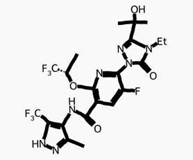 CCn1c(C(C)(C)O)nn(-c2nc(O[C@@H](C)C(F)(F)F)c(C(=O)Nc3c(C)n[nH]c3C(F)(F)F)cc2F)c1=O